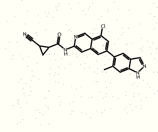 Cc1cc2[nH]ncc2cc1-c1cc(Cl)c2cnc(NC(=O)C3CC3C#N)cc2c1